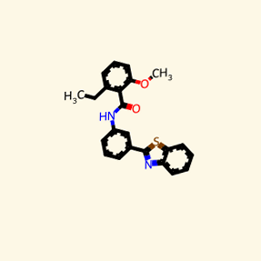 CCc1cccc(OC)c1C(=O)Nc1cccc(-c2nc3ccccc3s2)c1